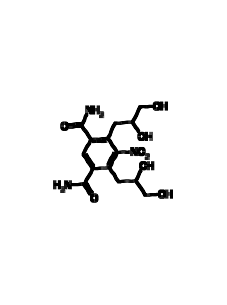 NC(=O)c1cc(C(N)=O)c(CC(O)CO)c([N+](=O)[O-])c1CC(O)CO